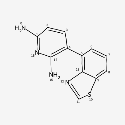 Nc1ccc(-c2cccc3scnc23)c(N)n1